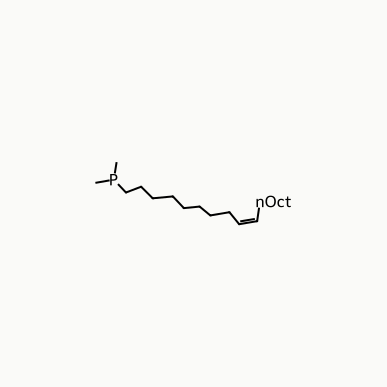 CCCCCCCC/C=C\CCCCCCCCP(C)C